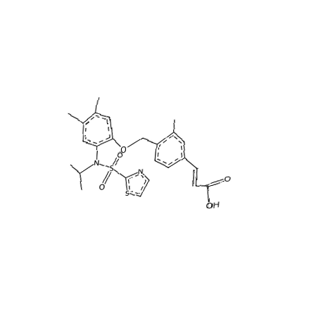 Cc1cc(OCc2ccc(C=CC(=O)O)cc2C)c(N(C(C)C)S(=O)(=O)c2nccs2)cc1C